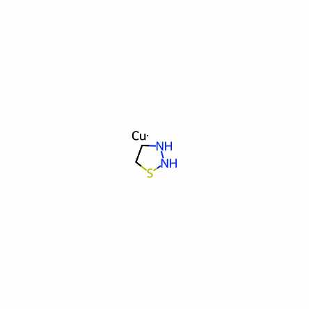 C1CSNN1.[Cu]